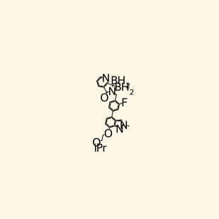 BC1(B)c2ncccc2C(=O)N1Cc1ccc(-c2ccc(OCCOC(C)C)c3nn(C)cc23)cc1F